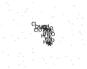 CC(C)C[C@H](NC(=O)[C@@H](NC(=O)[C@@H](N)CNC(=O)c1nnn[nH]1)C(C)C)C(=O)N[C@@H](Cc1ccccc1)[C@@H](O)C(=O)Nc1cc(Cl)cc(Cl)c1